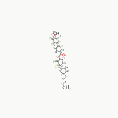 CCCCCc1ccc(-c2ccc(OC(=O)c3ccc(-c4ccc(OC)c(F)c4F)cc3)c(F)c2F)cc1